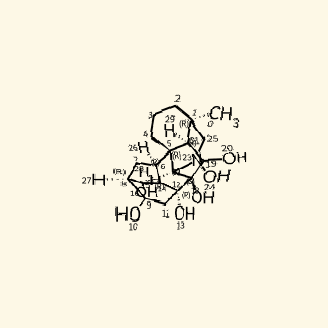 C[C@@]12CCC[C@@]34[C@@H]5C[C@@H]6C(O)C[C@@](O)([C@H]5C6O)[C@@](O)(C(O)[C@H]13)[C@@H]4N(O)C2